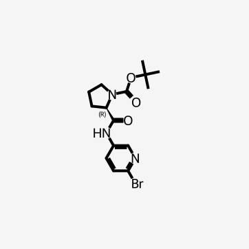 CC(C)(C)OC(=O)N1CCC[C@@H]1C(=O)Nc1ccc(Br)nc1